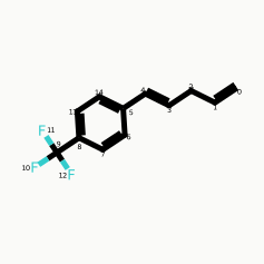 C=C[C]C=Cc1ccc(C(F)(F)F)cc1